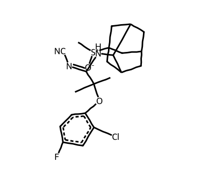 C[S+]([O-])C12CC3CC(C1)C(N/C(=N\C#N)C(C)(C)Oc1ccc(F)cc1Cl)C(C3)C2